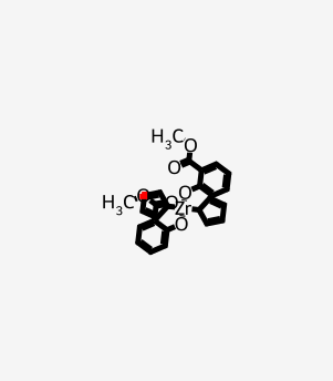 COC(=O)c1ccccc1[O][Zr]([O]c1ccccc1C(=O)OC)([CH]1C=CC=C1)[CH]1C=CC=C1